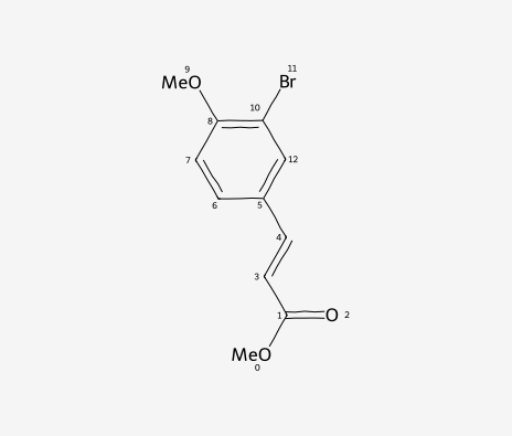 COC(=O)/C=C/c1ccc(OC)c(Br)c1